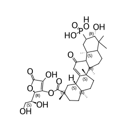 CC1(C)C2CC[C@]3(C)C(C(=O)C=C4[C@H]5C[C@@](C)(C(=O)OC6=C(O)C(=O)O[C@@H]6[C@@H](O)CO)CC[C@]5(C)CC[C@]43C)[C@@]2(C)CC(P(=O)(O)O)[C@@H]1O